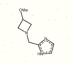 COC1CN(Cc2ncc[nH]2)C1